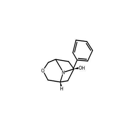 O[C@@H]1CC2COC[C@@H](C1)N2Cc1ccccc1